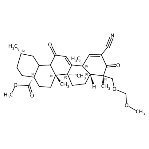 COCOC[C@@]1(C)C(=O)C(C#N)=C[C@]2(C)C3=CC(=O)C4C5C[C@@H](C)CC[C@]5(C(=O)OC)CC[C@@]4(C)[C@]3(C)CC[C@@H]12